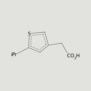 CC(C)c1cc(CC(=O)O)cs1